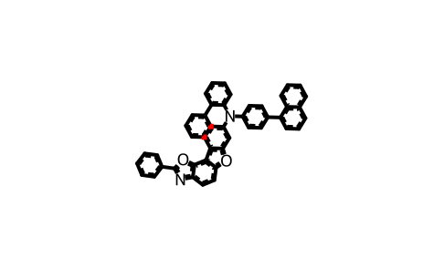 c1ccc(-c2nc3ccc4oc5cc(N(c6ccc(-c7cccc8ccccc78)cc6)c6ccccc6-c6ccccc6)ccc5c4c3o2)cc1